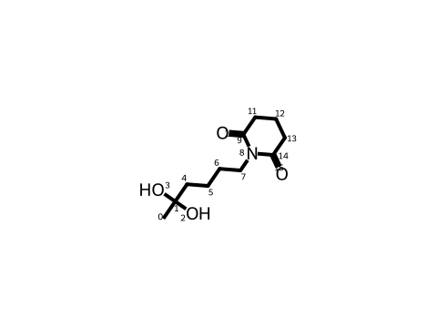 CC(O)(O)CCCCN1C(=O)CCCC1=O